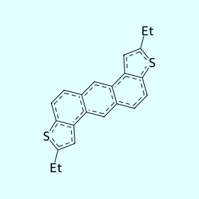 CCc1cc2c(ccc3cc4c(ccc5sc(CC)cc54)cc32)s1